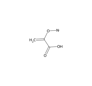 C=C(O[N])C(=O)O